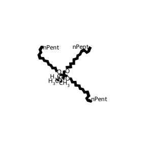 CCCCC/C=C\C/C=C\CCCCCCCCOCC(COCCCCCCCC/C=C\C/C=C\CCCCC)(COCCCCCCCC/C=C\C/C=C\CCCCC)C[N+](C)(C)C